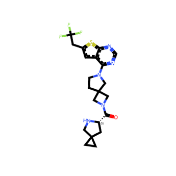 O=C([C@@H]1CC2(CC2)CN1)N1CC2(CCN(c3ncnc4sc(CC(F)(F)F)cc34)C2)C1